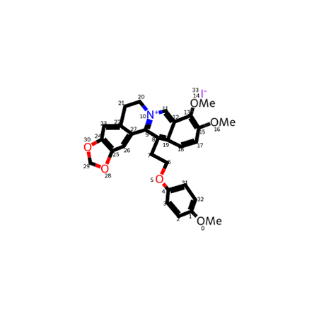 COc1ccc(OCCc2c3[n+](cc4c(OC)c(OC)ccc24)CCc2cc4c(cc2-3)OCO4)cc1.[I-]